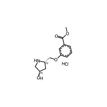 COC(=O)c1cccc(OC[C@@H]2C[C@@H](O)CN2)c1.Cl